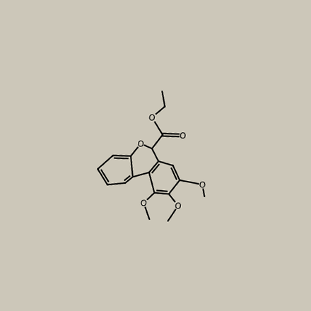 CCOC(=O)C1Oc2ccccc2-c2c1cc(OC)c(OC)c2OC